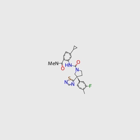 CNC(=O)c1ccc(C2CC2)cc1NC(=O)N1CC[C@](c2ccc(C)c(F)c2)(c2ncns2)C1